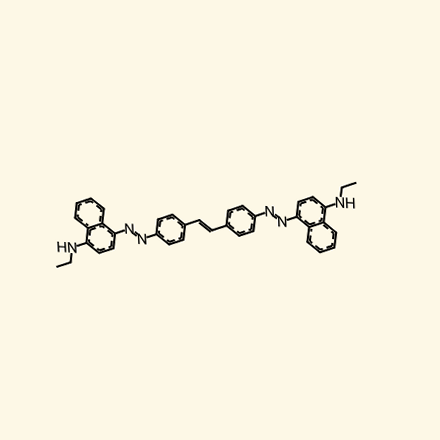 CCNc1ccc(N=Nc2ccc(C=Cc3ccc(N=Nc4ccc(NCC)c5ccccc45)cc3)cc2)c2ccccc12